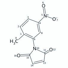 Cc1ccc([N+](=O)[O-])cc1N1C(=O)C=CC1=O